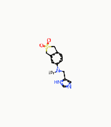 CC(C)N(Cc1cnc[nH]1)c1ccc2c(c1)CS(=O)(=O)C2